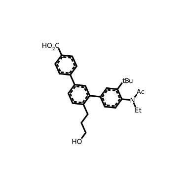 CCN(C(C)=O)c1ccc(-c2cc(-c3ccc(C(=O)O)cc3)ccc2CCCO)cc1C(C)(C)C